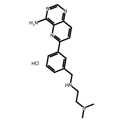 CN(C)CCNCc1cccc(-c2ccc3ncnc(N)c3n2)c1.Cl